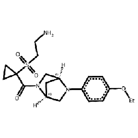 CCOc1ccc(N2C[C@@H]3C[C@H]2CN3C(=O)C2(S(=O)(=O)CCN)CC2)cc1